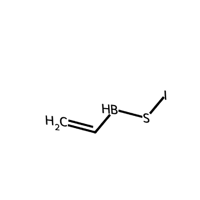 C=CBSI